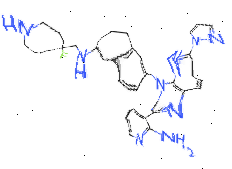 Nc1ncccc1-c1nc2ccc(-n3cccn3)nc2n1-c1ccc2c(c1)CCC2NCC1(F)CCNCC1